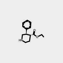 CCOC(=O)[C@@H]1CCNC[C@H]1c1ccccc1